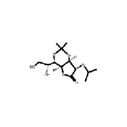 CC(C)O[C@H]1C(=O)O[C@@H]2[C@H]1OC(C)(C)O[C@@H]2[C@H](O)CO